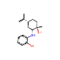 C=C(C)[C@@H]1CCC(C)(O)C(Nc2ccccc2O)C1